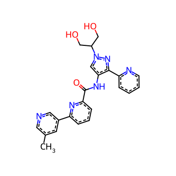 Cc1cncc(-c2cccc(C(=O)Nc3cn(C(CO)CO)nc3-c3ccccn3)n2)c1